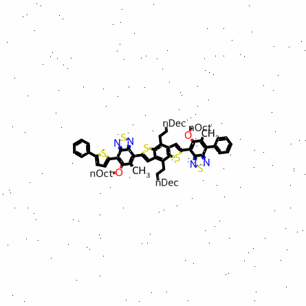 CCCCCCCCCCCCc1c2cc(-c3c(OCCCCCCCC)c(C)c(-c4ccccc4)c4nsnc34)sc2c(CCCCCCCCCCCC)c2cc(-c3c(C)c(OCCCCCCCC)c(-c4ccc(-c5ccccc5)s4)c4nsnc34)sc12